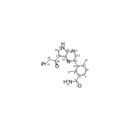 Cc1ccc(C(N)=O)c(C)c1-c1cnc2[nH]cc(C(=O)CC(C)C)c2n1